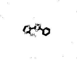 Nc1nccnc1-c1nnc(-c2ccccc2)o1